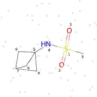 CS(=O)(=O)NC12C[C](C1)C2